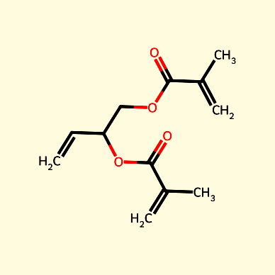 C=CC(COC(=O)C(=C)C)OC(=O)C(=C)C